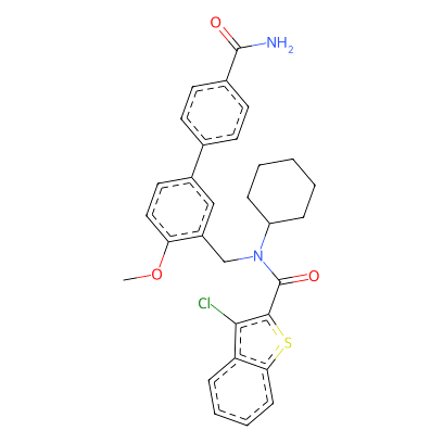 COc1ccc(-c2ccc(C(N)=O)cc2)cc1CN(C(=O)c1sc2ccccc2c1Cl)C1CCCCC1